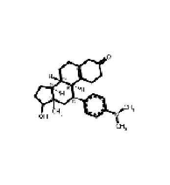 CN(C)c1ccc([C@H]2C[C@]3(C)C(O)CC[C@H]3[C@@H]3CCC4=C(CCC(=O)C4)[C@H]32)cc1